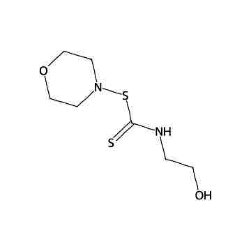 OCCNC(=S)SN1CCOCC1